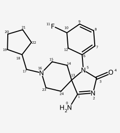 NC1=NC(=O)N(C2=CC=CC(F)C2)C12CCN(CC1CCCC1)CC2